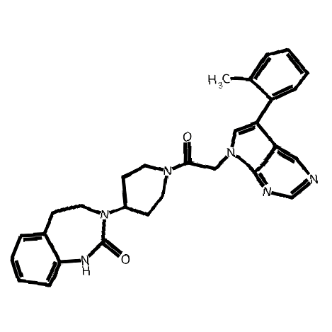 Cc1ccccc1-c1cn(CC(=O)N2CCC(N3CCc4ccccc4NC3=O)CC2)c2ncncc12